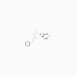 O=C(NCc1ccccc1)[C@H]1CCCN1c1nc2c(=O)[nH]cc(C(F)(F)F)c2s1